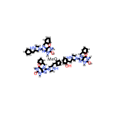 COc1ccccc1CC1CN(c2nc3c(c(=O)n(C)c(=O)n3C)n2Cc2ccccc2)CCN1.Cn1c(=O)c2c(nc(N3CCNC(Cc4ccccc4)C3)n2Cc2ccccc2)n(C)c1=O.Cn1c(=O)c2c(nc(N3CCNC(Cc4ccccc4O)C3)n2Cc2ccccc2)n(C)c1=O